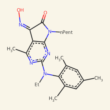 CCCCCN1C(=O)C(=NO)c2c(C)nc(N(CC)c3c(C)cc(C)cc3C)nc21